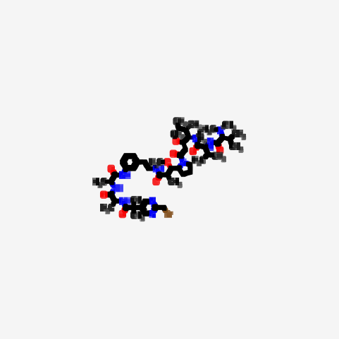 CC[C@H](C)[C@@H]([C@@H](CC(=O)N1CCC[C@H]1[C@H](OC)[C@@H](C)C(=O)NCCc1cccc(NC(=O)[C@H](C)NC(=O)[C@H](C)NC(=O)C(C)(C)c2cnc(CBr)nc2)c1)OC)N(C)C(=O)[C@@H](NC(=O)[C@H](C(C)C)N(C)C)C(C)C